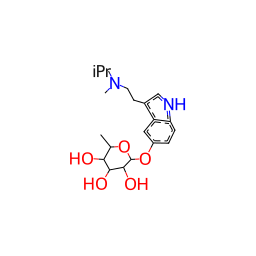 CC1OC(Oc2ccc3[nH]cc(CCN(C)C(C)C)c3c2)C(O)C(O)C1O